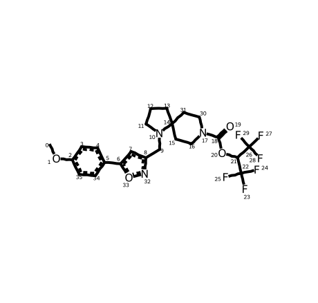 COc1ccc(-c2cc(CN3CCCC34CCN(C(=O)OC(C(F)(F)F)C(F)(F)F)CC4)no2)cc1